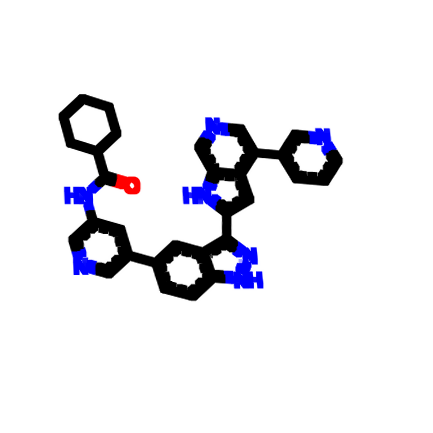 O=C(Nc1cncc(-c2ccc3[nH]nc(-c4cc5c(-c6cccnc6)cncc5[nH]4)c3c2)c1)C1CCCCC1